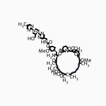 CO[C@H]1C[C@@H]2CC[C@@H](C)[C@@](O)(O2)C(=O)C(=O)N2CCCC[C@H]2C(=O)O[C@H]([C@H](N)C[C@@H]2CC[C@@H](OC(=O)NCc3cnc(N4CCN(c5ncc(C)cn5)CC4CO)nc3)[C@H](OC)C2)CC(=O)[C@H](C)/C=C(\C)[C@@H](O)[C@@H](O)C(=O)[C@H](C)C[C@H](C)/C=C/C=C/C=C/1C